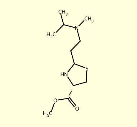 COC(=O)[C@H]1CSC(CCN(C)C(C)C)N1